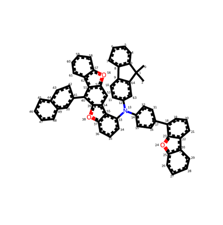 CC1(C)c2ccccc2-c2ccc(N(c3ccc(-c4cccc5c4oc4ccccc45)cc3)c3cccc4oc5c(-c6ccc7ccccc7c6)c6c(cc5c34)oc3ccccc36)cc21